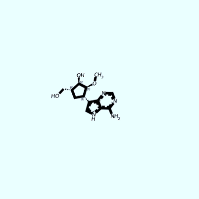 CO[C@@H]1[C@H](O)[C@@H](CO)C[C@H]1c1c[nH]c2c(N)ncnc12